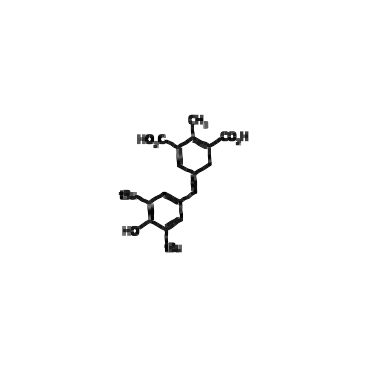 CC1=C(C(=O)O)CC(=Cc2cc(C(C)(C)C)c(O)c(C(C)(C)C)c2)C=C1C(=O)O